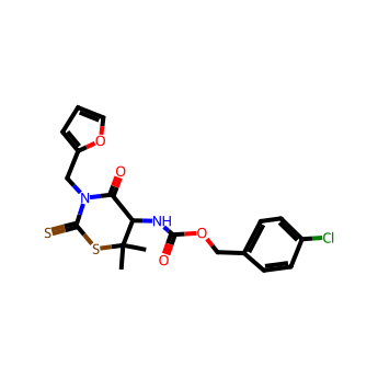 CC1(C)SC(=S)N(Cc2ccco2)C(=O)C1NC(=O)OCc1ccc(Cl)cc1